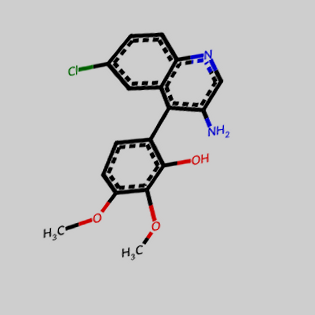 COc1ccc(-c2c(N)cnc3ccc(Cl)cc23)c(O)c1OC